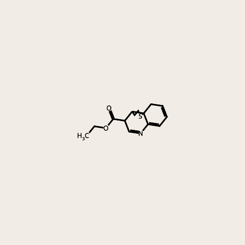 CCOC(=O)C1C=NC2=CC=CCC23SCCC13